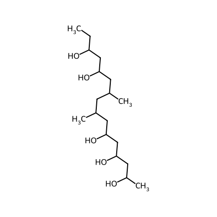 CCC(O)CC(O)CC(C)CC(C)CC(O)CC(O)CC(C)O